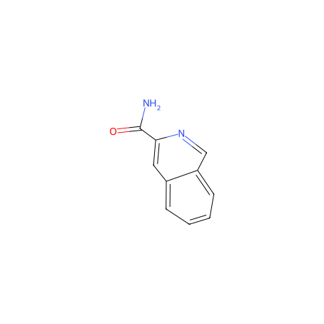 NC(=O)c1cc2ccccc2cn1